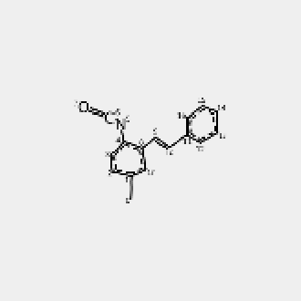 Cc1ccc(N=C=O)c(C=Cc2ccccc2)c1